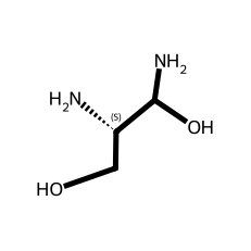 NC(O)[C@@H](N)CO